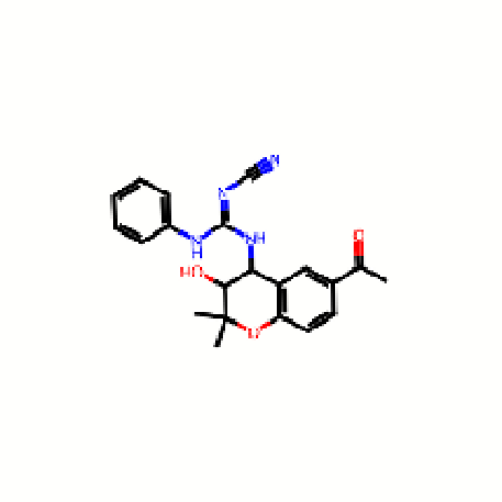 CC(=O)c1ccc2c(c1)C(N/C(=N\C#N)Nc1ccccc1)C(O)C(C)(C)O2